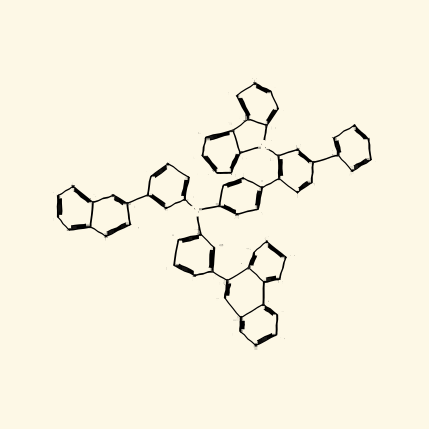 c1ccc(-c2ccc(-c3ccc(N(c4cccc(-c5ccc6ccccc6c5)c4)c4cccc(-c5cc6ccccc6c6ccccc56)c4)cc3)c(-n3c4ccccc4c4ccccc43)c2)cc1